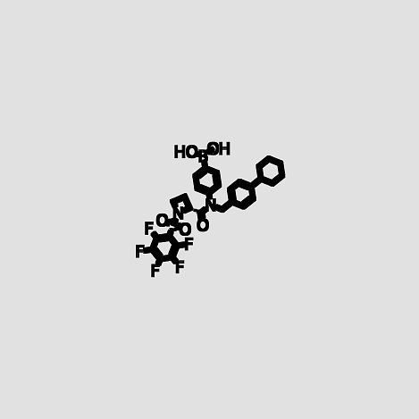 O=C([C@H]1CCN1S(=O)(=O)c1c(F)c(F)c(F)c(F)c1F)N(Cc1ccc(C2CCCCC2)cc1)c1ccc(B(O)O)cc1